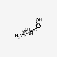 Cn1nc(N)nc1NCCCOc1cccc(CO)c1